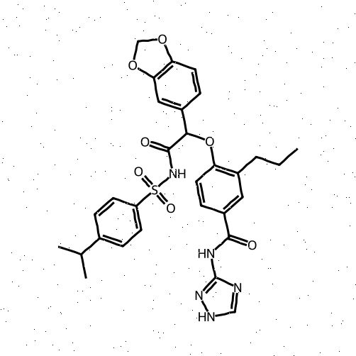 CCCc1cc(C(=O)Nc2nc[nH]n2)ccc1OC(C(=O)NS(=O)(=O)c1ccc(C(C)C)cc1)c1ccc2c(c1)OCO2